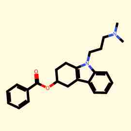 CN(C)CCCn1c2c(c3ccccc31)CC(OC(=O)c1ccccc1)CC2